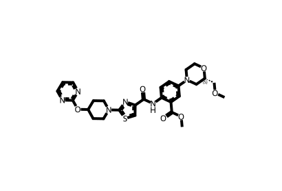 COC[C@@H]1CN(c2ccc(NC(=O)c3csc(N4CCC(Oc5ncccn5)CC4)n3)c(C(=O)OC)c2)CCO1